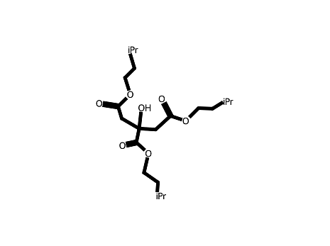 CC(C)CCOC(=O)CC(O)(CC(=O)OCCC(C)C)C(=O)OCCC(C)C